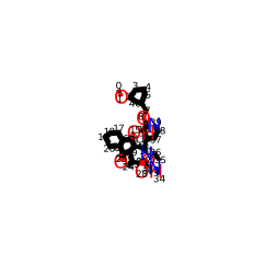 COc1cccc(COc2cc(C(c3c(O)c4ccccc4c4occ(C(=O)O)c34)N3CCN(C)CC3)ccn2)c1